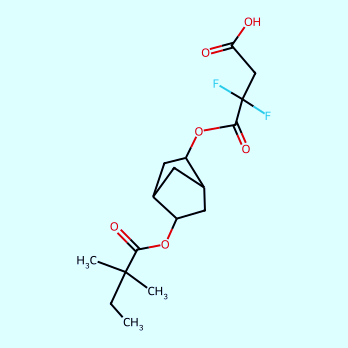 CCC(C)(C)C(=O)OC1CC2CC1CC2OC(=O)C(F)(F)CC(=O)O